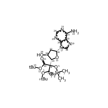 CC(C)(C)OC(=O)C(O[Si](C)(C)C(C)(C)C)(C(=O)OC(C)(C)C)[C@H]1O[C@@H](n2cnc3c(N)ncnc32)C[C@@H]1O